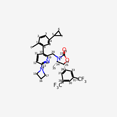 Cc1ccc(C2CC2)cc1-c1ccc(N2CCC2)nc1CN1C(=O)O[C@H](c2cc(C(F)(F)F)cc(C(F)(F)F)c2)[C@@H]1C